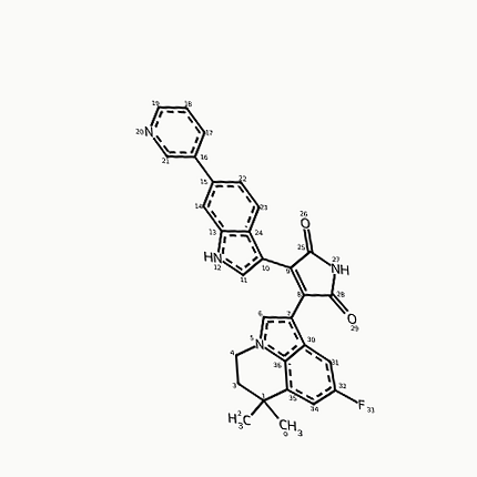 CC1(C)CCn2cc(C3=C(c4c[nH]c5cc(-c6cccnc6)ccc45)C(=O)NC3=O)c3cc(F)cc1c32